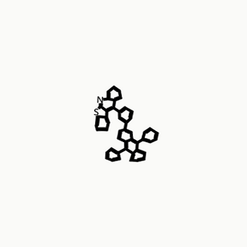 c1ccc(-c2c3ccccc3c(-c3ccccc3)c3cc(-c4cccc(-c5c6ccccc6nc6sc7ccccc7c56)c4)ccc23)cc1